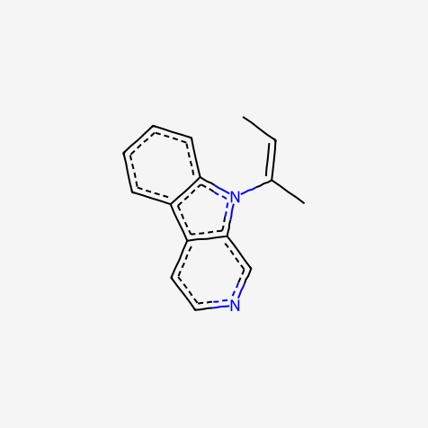 C/C=C(/C)n1c2ccccc2c2ccncc21